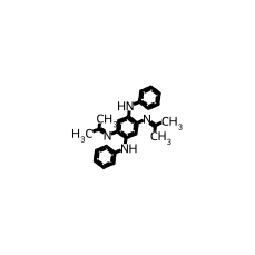 CC(C)=Nc1cc(Nc2ccccc2)c(N=C(C)C)cc1Nc1ccccc1